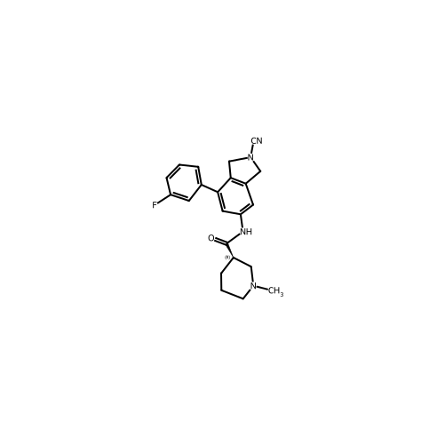 CN1CCC[C@@H](C(=O)Nc2cc3c(c(-c4cccc(F)c4)c2)CN(C#N)C3)C1